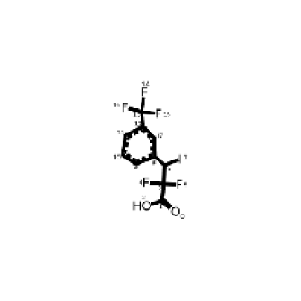 O=C(O)C(F)(F)C(I)c1cccc(C(F)(F)F)c1